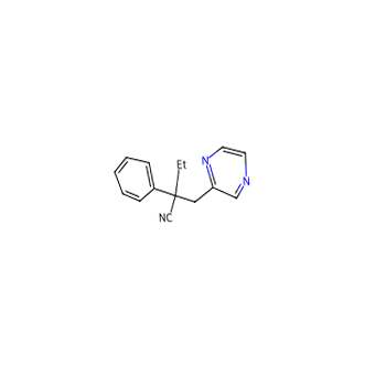 CCC(C#N)(Cc1cnccn1)c1ccccc1